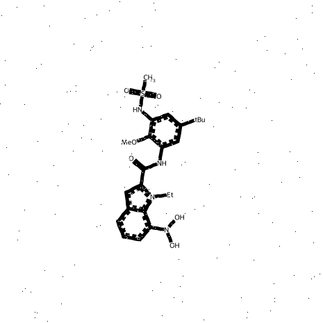 CCn1c(C(=O)Nc2cc(C(C)(C)C)cc(NS(C)(=O)=O)c2OC)cc2cccc(N(O)O)c21